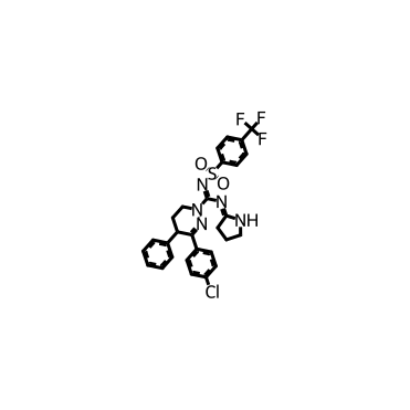 O=S(=O)(/N=C(\N=C1/CCCN1)N1CCC(c2ccccc2)C(c2ccc(Cl)cc2)=N1)c1ccc(C(F)(F)F)cc1